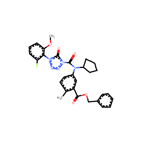 COc1cccc(F)c1-n1nnn(C(=O)N(c2ccc(C)c(C(=O)OCc3ccccc3)c2)C2CCCC2)c1=O